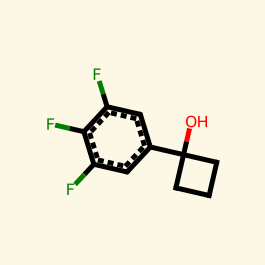 OC1(c2cc(F)c(F)c(F)c2)CCC1